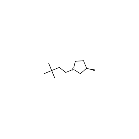 C[C@@H]1CCN(CCC(C)(C)C)C1